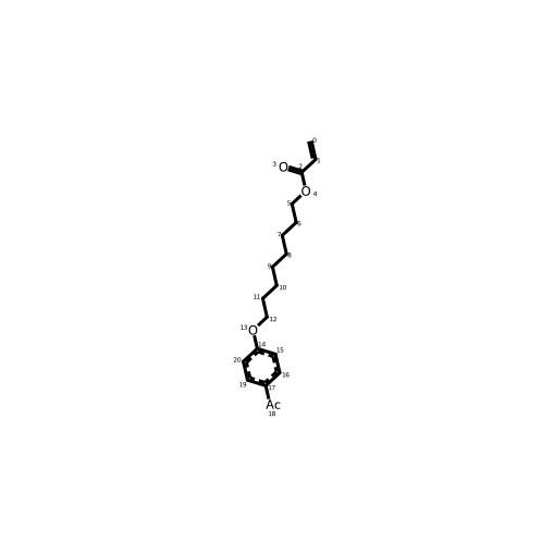 C=CC(=O)OCCCCCCCCOc1ccc(C(C)=O)cc1